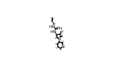 C=CCNC(=P)Nc1cn(-c2cccnc2)nc1C